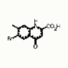 Cc1cc2[nH]c(C(=O)O)cc(=O)c2cc1Br